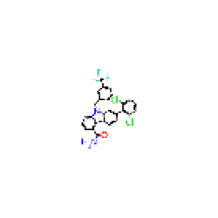 NC(=O)c1cccc2c1c1[c]cc(-c3c(Cl)cccc3Cl)cc1n2Cc1cccc(C(F)(F)F)c1